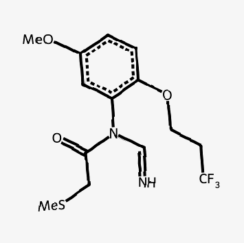 COc1ccc(OCCC(F)(F)F)c(N(C=N)C(=O)CSC)c1